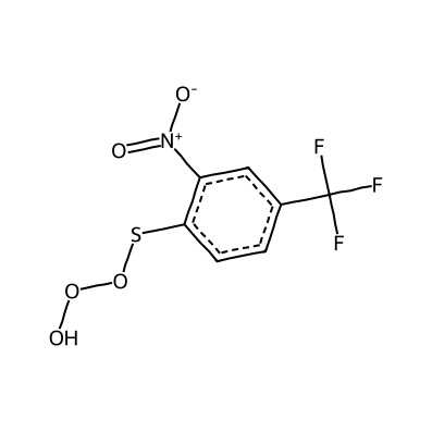 O=[N+]([O-])c1cc(C(F)(F)F)ccc1SOOO